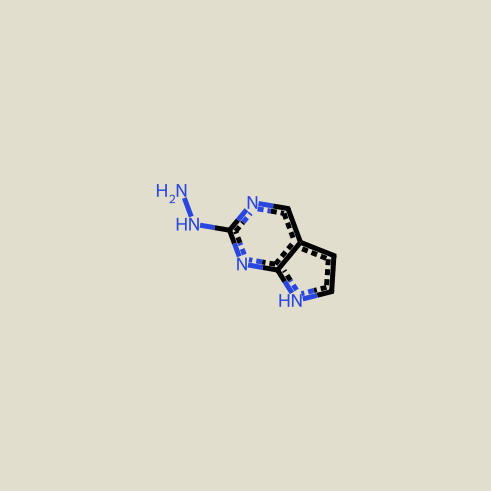 NNc1ncc2cc[nH]c2n1